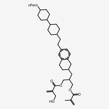 C=C(C)C(=O)OCC(COC(=O)C(=C)CO)CC1CCc2cc(CCC3CCC(C4CCC(CCCCC)CC4)CC3)ccc2C1